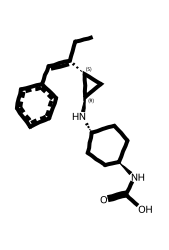 CCC(=Cc1ccccc1)[C@@H]1C[C@H]1N[C@H]1CC[C@H](NC(=O)O)CC1